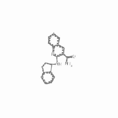 NC(=O)c1cc2c[c]ccc2nc1N[C@@H]1CCc2ccccc21